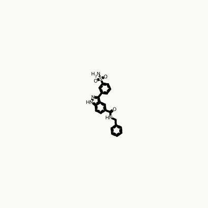 NS(=O)(=O)c1cccc(-c2n[nH]c3ccc(C(=O)NCc4ccccc4)cc23)c1